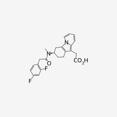 CN(C(=O)Cc1ccc(F)cc1F)[C@@H]1CCc2c(CC(=O)O)c3ccccn3c2C1